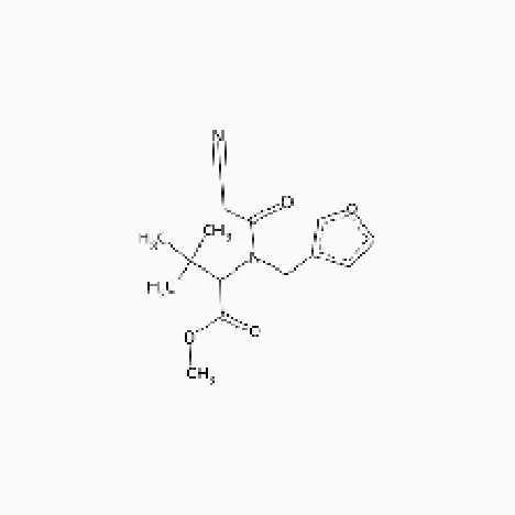 COC(=O)C(N(Cc1ccoc1)C(=O)CC#N)C(C)(C)C